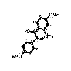 COc1ccc(-c2cn(C)c3cc(OC)ccc3c2=O)cc1